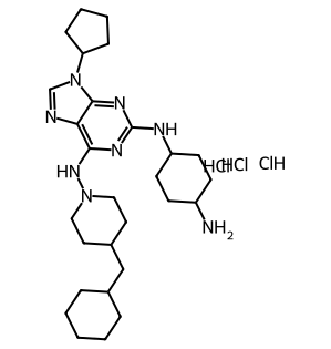 Cl.Cl.Cl.NC1CCC(Nc2nc(NN3CCC(CC4CCCCC4)CC3)c3ncn(C4CCCC4)c3n2)CC1